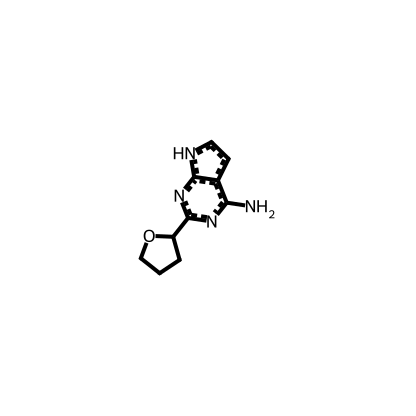 Nc1nc(C2CCCO2)nc2[nH]ccc12